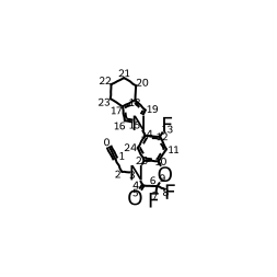 C#CCN1C(=O)C(F)(F)Oc2cc(F)c(-n3cc4c(c3)CCCC4)cc21